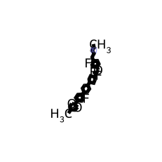 C/C=C/CCc1ccc(OC(F)(F)C2CCC(C3CCC(c4ccc(C5OCC(C)CO5)cc4F)CC3)CC2)cc1F